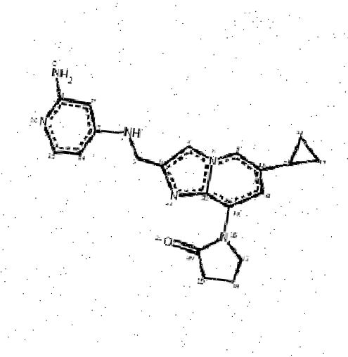 Nc1cc(NCc2cn3cc(C4CC4)cc(N4CCCC4=O)c3n2)ccn1